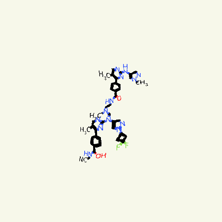 Cc1cnc(Nc2cnn(C)c2)nc1-c1ccc(C(=O)NCCN(C)CN(c2cnn(C3CC(F)(F)C3)c2)c2ncc(C)c(-c3ccc(C(O)NCC#N)cc3)n2)cc1